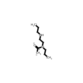 CCCNCCN(CCC)C(C)=O